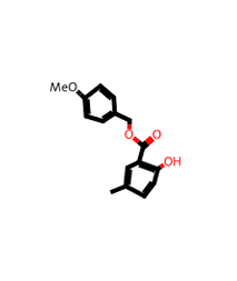 COc1ccc(COC(=O)c2cc(C)ccc2O)cc1